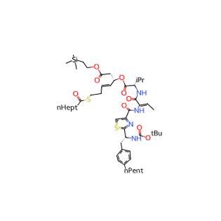 C/C=C(\NC(=O)c1csc([C@@H](Cc2ccc(CCCCC)cc2)NC(=O)OC(C)(C)C)n1)C(=O)N[C@H](C(=O)O[C@H](/C=C/CCSC(=O)CCCCCCC)CC(=O)OCC[Si](C)(C)C)C(C)C